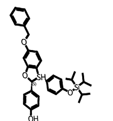 CC(C)[Si](Oc1ccc([SH]2c3ccc(OCc4ccccc4)cc3O[C@@H]2c2ccc(O)cc2)cc1)(C(C)C)C(C)C